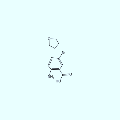 C1CCOC1.Nc1ccc(Br)cc1C(=O)O